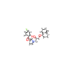 OC(CO[C@@H]1CCCc2ccccc21)CN1CCC(Oc2ccc(F)cc2)C1